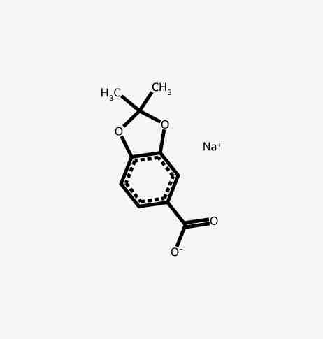 CC1(C)Oc2ccc(C(=O)[O-])cc2O1.[Na+]